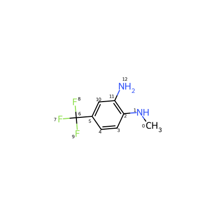 CNc1ccc(C(F)(F)F)cc1N